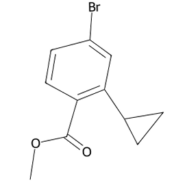 COC(=O)c1ccc(Br)cc1C1CC1